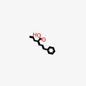 C=CCC(=CC=Cc1ccccc1)C(=O)O